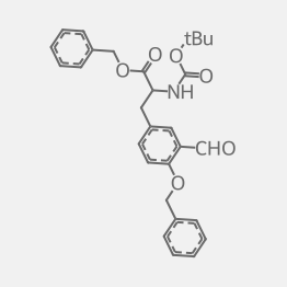 CC(C)(C)OC(=O)NC(Cc1ccc(OCc2ccccc2)c(C=O)c1)C(=O)OCc1ccccc1